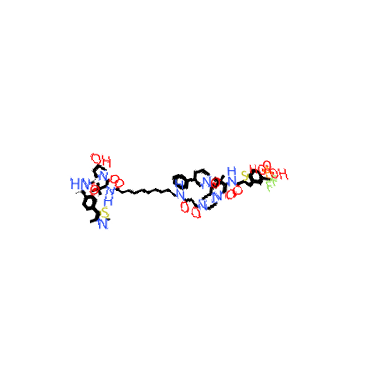 Cc1ncsc1-c1ccc([C@H](C)NC(=O)[C@@H]2C[C@@H](O)CN2C(=O)C(NC(=O)CCCCCCCCCNC(=O)CC(=O)N2CCN(C(=O)C(NC(=O)c3cc4cc(C(F)(F)P(=O)(O)O)ccc4s3)C(C)(C)C)C(C(=O)N3CCCC(c4ccccc4)C3)C2)C(C)(C)C)cc1